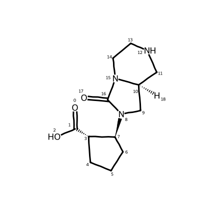 O=C(O)[C@H]1CCC[C@@H]1N1C[C@@H]2CNCCN2C1=O